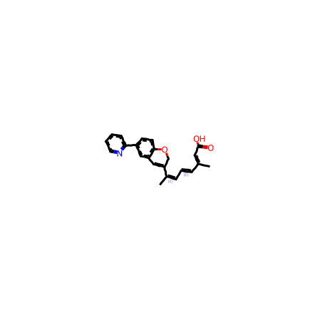 CC(=CC(=O)O)/C=C/C=C(/C)C1=Cc2cc(-c3ccccn3)ccc2OC1